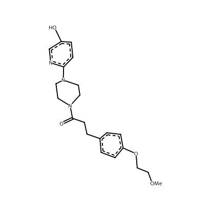 COCCOc1ccc(CCC(=O)N2CCN(c3ccc(O)cn3)CC2)cc1